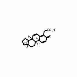 C[C@@]12CCC[C@H]1[C@@H]1C=CC3=C(CC(=O)O)C(=O)C=C[C@]3(C)[C@H]1CC2